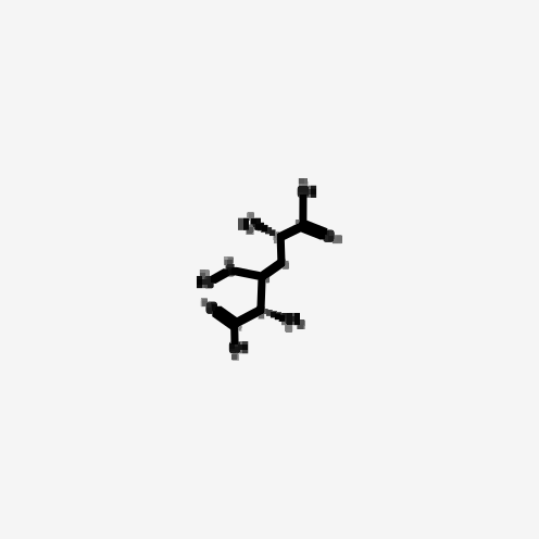 N[C@H](C(=O)O)C(C[C@H](N)C(=O)O)SS